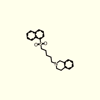 O=S(=O)(CCCCCN1CCc2ccccc2C1)c1cccc2ccccc12